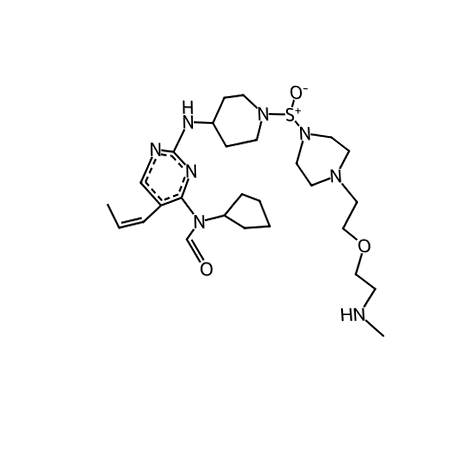 C/C=C\c1cnc(NC2CCN([S+]([O-])N3CCN(CCOCCNC)CC3)CC2)nc1N(C=O)C1CCCC1